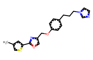 Cc1csc(-c2nc(COc3ccc(CCCn4ccnc4)cc3)co2)c1